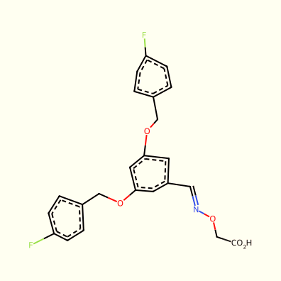 O=C(O)CO/N=C/c1cc(OCc2ccc(F)cc2)cc(OCc2ccc(F)cc2)c1